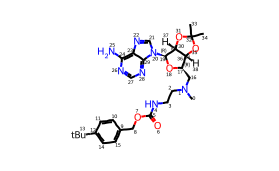 CN(CCNC(=O)OCc1ccc(C(C)(C)C)cc1)C[C@H]1O[C@@H](n2cnc3c(N)ncnc32)[C@@H]2OC(C)(C)O[C@@H]21